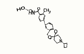 Cc1cc(-c2ccc3c(c2)COC2(CCN(C4CCC4)CC2)O3)ccc1C(=O)NCCO